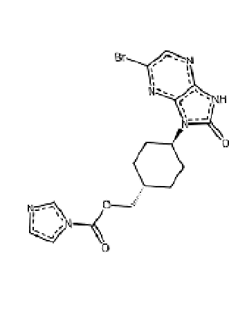 O=C(OC[C@H]1CC[C@H](n2c(=O)[nH]c3ncc(Br)nc32)CC1)n1ccnc1